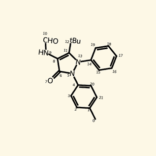 Cc1ccc(-n2c(=O)c(NC=O)c(C(C)(C)C)n2-c2ccccc2)cc1